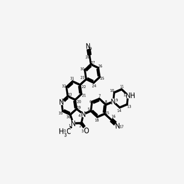 Cn1c(=O)n(-c2ccc(N3CCNCC3)c(C#N)c2)c2c3cc(-c4cccc(C#N)c4)ccc3ncc21